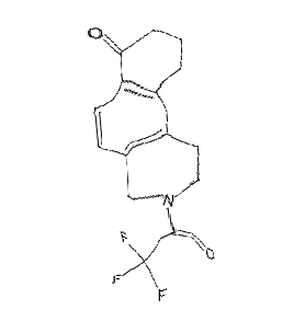 O=C1CCCc2c1ccc1c2CCN(C(=O)C(F)(F)F)C1